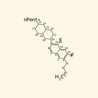 C=CCCc1cc2ccc(C3CCC4CC(CCCCC)CCC4C3)c(F)c2cc1F